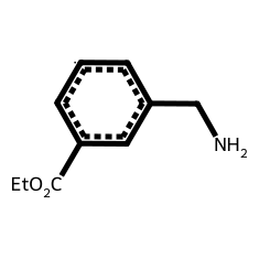 CCOC(=O)c1c[c]cc(CN)c1